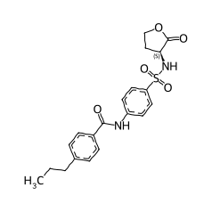 CCCc1ccc(C(=O)Nc2ccc(S(=O)(=O)N[C@H]3CCOC3=O)cc2)cc1